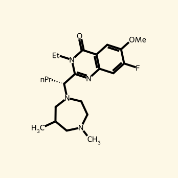 CCC[C@H](c1nc2cc(F)c(OC)cc2c(=O)n1CC)N1CCN(C)CC(C)C1